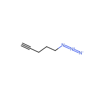 C#CCCCN=[N+]=[N-]